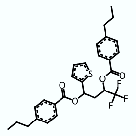 CCCc1ccc(C(=O)OC(CC(OC(=O)c2ccc(CCC)cc2)C(F)(F)F)c2cccs2)cc1